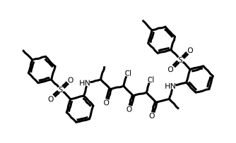 Cc1ccc(S(=O)(=O)c2ccccc2NC(C)C(=O)C(Cl)C(=O)C(Cl)C(=O)C(C)Nc2ccccc2S(=O)(=O)c2ccc(C)cc2)cc1